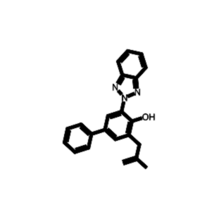 C=C(C)Cc1cc(-c2ccccc2)cc(-n2nc3ccccc3n2)c1O